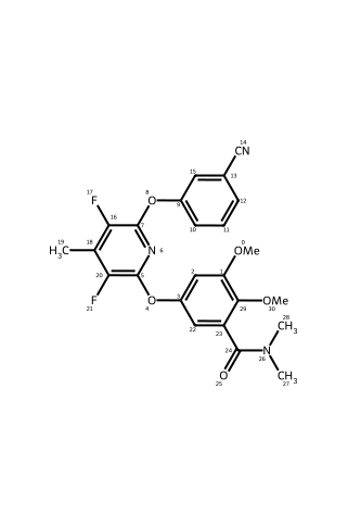 COc1cc(Oc2nc(Oc3cccc(C#N)c3)c(F)c(C)c2F)cc(C(=O)N(C)C)c1OC